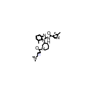 Cc1ncc(C(=O)Nc2nc3cccc(C)c3n2[C@H]2CCCCN(C(=O)/C=C/CN(C)C)C2)s1